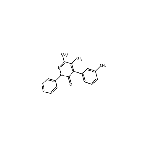 Cc1cccc(-c2c(C)c(C(=O)O)nn(-c3ccccc3)c2=O)c1